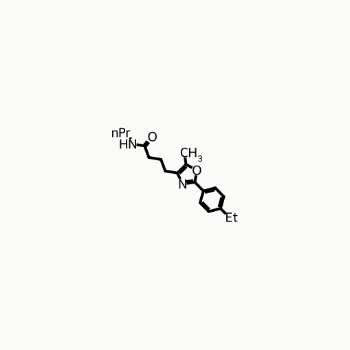 CCCNC(=O)CCCc1nc(-c2ccc(CC)cc2)oc1C